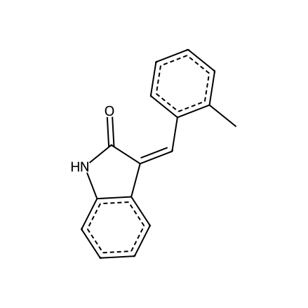 Cc1ccccc1/C=C1\C(=O)Nc2ccccc21